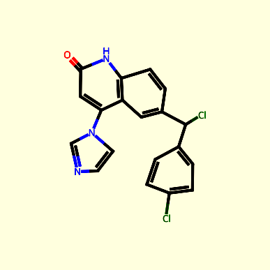 O=c1cc(-n2ccnc2)c2cc(C(Cl)c3ccc(Cl)cc3)ccc2[nH]1